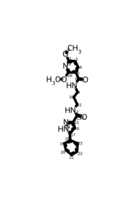 COc1ccc(C(=O)NCCCNC(=O)c2cc(-c3ccccc3)[nH]n2)c(OC)n1